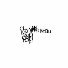 CC(C)(C)N1CCC(n2cc([C@@H](Nc3cc(Cl)c4ncc(C#N)c(Nc5cncc(F)c5)c4c3)c3ccc(Cl)cc3)nn2)CC1